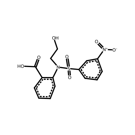 O=C(O)c1ccccc1N(CCO)S(=O)(=O)c1cccc([N+](=O)[O-])c1